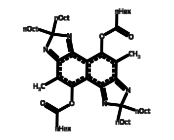 CCCCCCCCC1(CCCCCCCC)N=c2c(C)c(OC(=O)CCCCCC)c3c4c(c(C)c(OC(=O)CCCCCC)c3c2=N1)=NC(CCCCCCCC)(CCCCCCCC)N=4